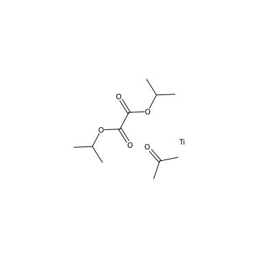 CC(C)=O.CC(C)OC(=O)C(=O)OC(C)C.[Ti]